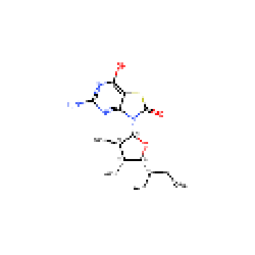 CC(=O)OCC(OC(C)=O)[C@H]1O[C@@H](n2c(=O)sc3c(O)nc(N)nc32)[C@H](OC(C)=O)[C@H]1OC(C)=O